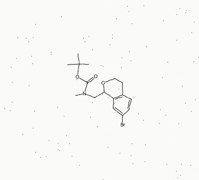 CN(CC1OCCc2ccc(Br)cc21)C(=O)OC(C)(C)C